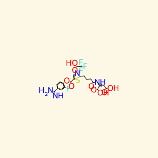 N=C(N)c1ccc(OC(=O)c2cnc(CCCC(=O)N[C@@H](CC(=O)O)C(=O)O)s2)c(F)c1.O=C(O)C(F)(F)F